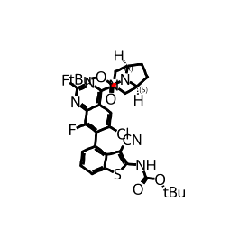 CC(C)(C)OC(=O)Nc1sc2cccc(-c3c(Cl)cc4c(N5C[C@H]6CC[C@@H](C5)N6C(=O)OC(C)(C)C)nc(F)nc4c3F)c2c1C#N